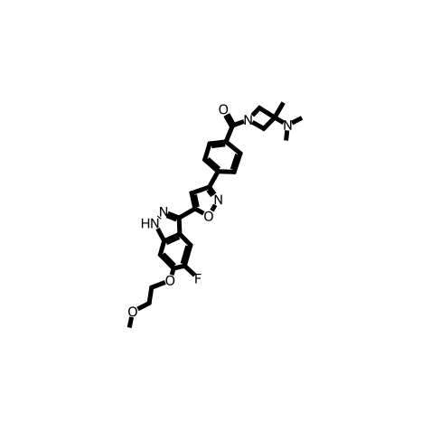 COCCOc1cc2[nH]nc(-c3cc(-c4ccc(C(=O)N5CC(C)(N(C)C)C5)cc4)no3)c2cc1F